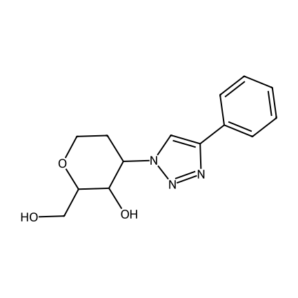 OCC1OCCC(n2cc(-c3ccccc3)nn2)C1O